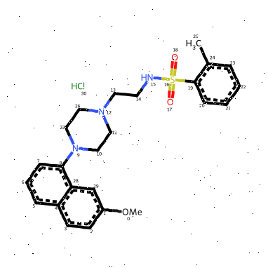 COc1ccc2cccc(N3CCN(CCNS(=O)(=O)c4ccccc4C)CC3)c2c1.Cl